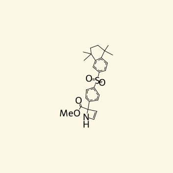 COC(=O)C1(c2ccc(S(=O)(=O)c3ccc4c(c3)C(C)(C)CCC4(C)C)cc2)C=CN1